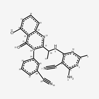 Cc1nc(N)c(C#N)c(NC(C)c2nc3cccc(Cl)c3c(=O)n2-c2cccc(C#N)c2)n1